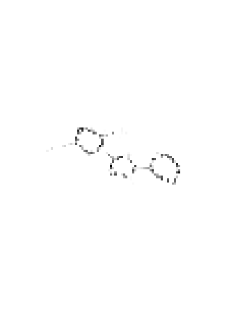 COc1ccc(C#N)c(-c2nc(-c3ccccn3)no2)c1